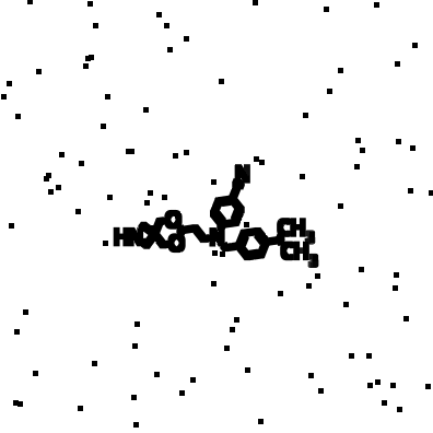 CC(C)c1ccc(CN(CCC2OCC3(CNC3)CO2)c2ccc(C#N)cc2)cc1